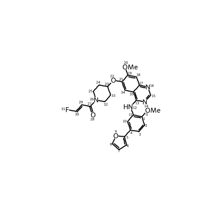 COc1ccc(-c2ccco2)cc1Nc1ncnc2cc(OC)c(OC3CCN(C(=O)/C=C/F)CC3)cc12